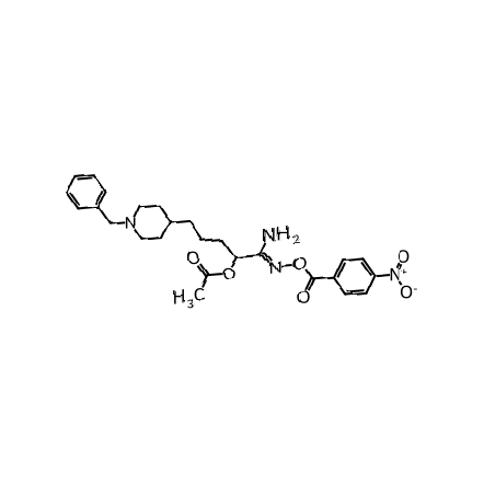 CC(=O)OC(CCCC1CCN(Cc2ccccc2)CC1)/C(N)=N/OC(=O)c1ccc([N+](=O)[O-])cc1